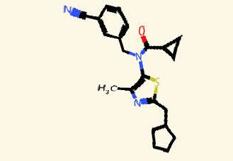 Cc1nc(CC2CCCC2)sc1N(Cc1cccc(C#N)c1)C(=O)C1CC1